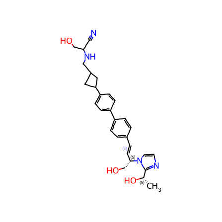 C[C@H](O)c1nccn1[C@@H](/C=C/c1ccc(-c2ccc(C3CC(CNC(C#N)CO)C3)cc2)cc1)CO